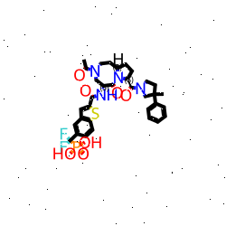 CC(=O)N1CC[C@H]2CC[C@@H](C(=O)N3CCC(C)(c4ccccc4)C3)N2C(=O)[C@@H](NC(=O)c2cc3cc(C(F)(F)P(=O)(O)O)ccc3s2)C1